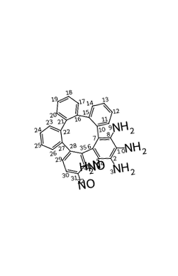 Nc1c(N)c(N)c2c(c1N)c1ccccc1c1ccccc1c1ccccc1c1ccc(N=O)c(N=O)c12